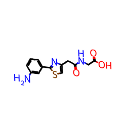 Nc1cccc(-c2nc(CC(=O)NCC(=O)O)cs2)c1